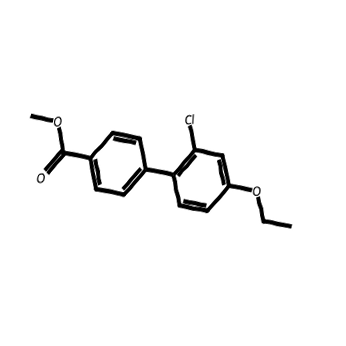 CCOc1ccc(-c2ccc(C(=O)OC)cc2)c(Cl)c1